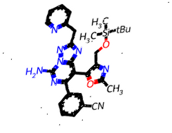 Cc1nc(CO[Si](C)(C)C(C)(C)C)c(-c2c(-c3cccc(C#N)c3)nc(N)n3nc(Cc4ccccn4)nc23)o1